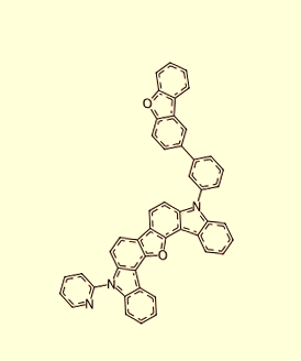 c1ccc(-n2c3ccccc3c3c4oc5c(ccc6c5c5ccccc5n6-c5cccc(-c6ccc7oc8ccccc8c7c6)c5)c4ccc32)nc1